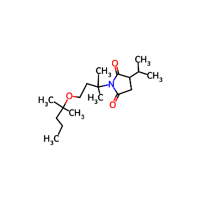 CCCC(C)(C)OCCC(C)(C)N1C(=O)CC(C(C)C)C1=O